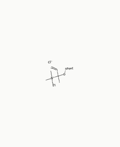 C=CC(C)(OCCCCC)[N+](C)(C)CC.[Cl-]